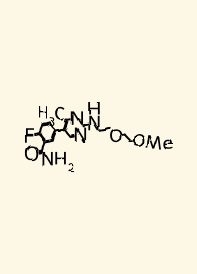 COCCOCCNc1ncc(-c2ccc(F)c(C(N)=O)c2)c(C)n1